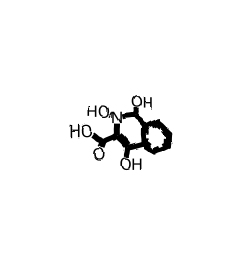 O=C(O)C1=C(O)c2ccccc2C(O)N1O